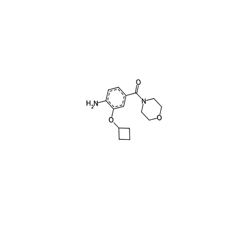 Nc1ccc(C(=O)N2CCOCC2)cc1OC1CCC1